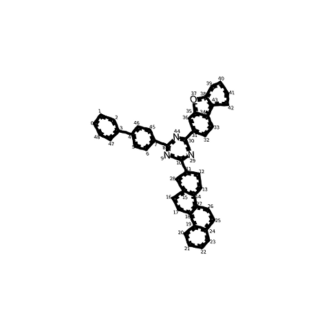 c1ccc(-c2ccc(-c3nc(-c4ccc5c(ccc6c7ccccc7ccc56)c4)nc(-c4ccc5c(c4)oc4ccccc45)n3)cc2)cc1